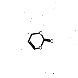 O=C1OC=[C]CO1